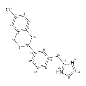 Clc1ccc2c(c1)CCN(c1cncc(Cc3ncc[nH]3)c1)C2